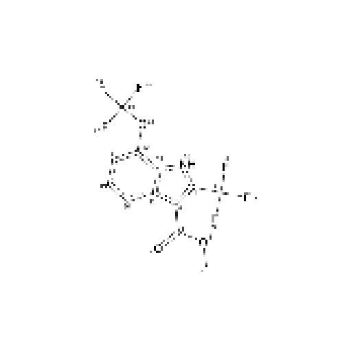 COC(=O)c1c(C(F)(F)F)[nH]c2c(OC(F)(F)F)cccc12